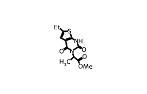 CCc1cc2c(=O)n(C(C)C(=O)OC)c(=O)[nH]c2s1